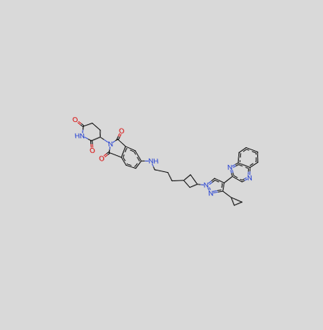 O=C1CCC(N2C(=O)c3ccc(NCCCC4CC(n5cc(-c6cnc7ccccc7n6)c(C6CC6)n5)C4)cc3C2=O)C(=O)N1